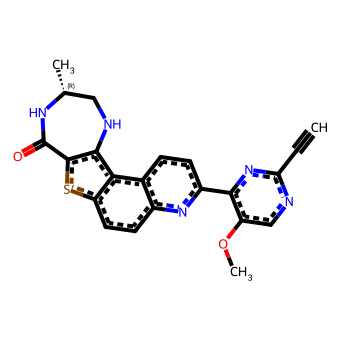 C#Cc1ncc(OC)c(-c2ccc3c(ccc4sc5c(c43)NC[C@@H](C)NC5=O)n2)n1